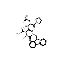 CC(C)[C@@H](C(=O)N[C@@H](CC(=O)O)C(=O)N1CCCC1)N(C)C(=O)OCC1c2ccccc2-c2ccccc21